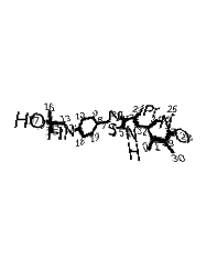 Cc1c(-c2[nH]c3sc(C4CCC(NCC(C)(C)O)CC4)nc3c2C(C)C)cn(C)c(=O)c1C